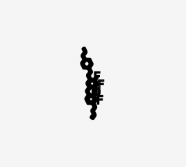 C=CCCc1ccc2c(c1F)Oc1c(cc(CCC3CCC(CCC)CC3)c(F)c1F)C2